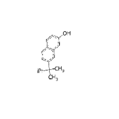 CC(C)C(C)(C)c1ccc2ccc(O)cc2c1